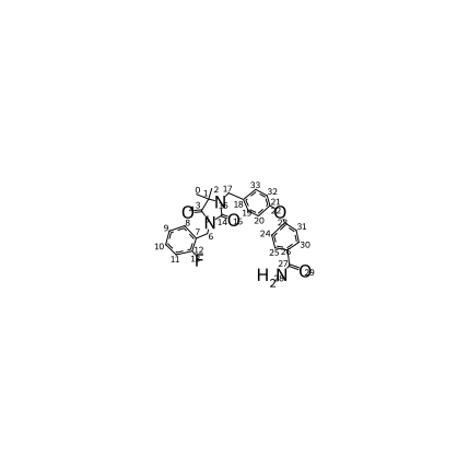 CC1(C)C(=O)N(Cc2ccccc2F)C(=O)N1Cc1ccc(Oc2ccc(C(N)=O)cc2)cc1